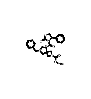 CC(C)(C)OC(=O)N1CC2(CN(Cc3ccccc3)C[C@H]2C(=O)N2C(=O)OCC2c2ccccc2)C1